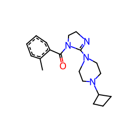 Cc1ccccc1C(=O)N1CCN=C1N1CCN(C2CCC2)CC1